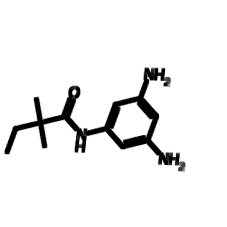 CCC(C)(C)C(=O)Nc1cc(N)cc(N)c1